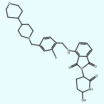 O=C1NC(O)CCC1N1C(=O)c2cccc(NCc3ccc(CN4CCC(C5CCOCC5)CC4)cc3F)c2C1=O